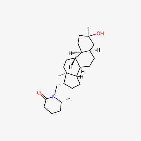 C[C@@H]1CCCC(=O)N1C[C@H]1CC[C@H]2[C@@H]3CC[C@@H]4C[C@](C)(O)CC[C@@H]4[C@H]3CC[C@]12C